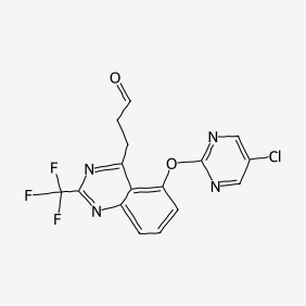 O=CCCc1nc(C(F)(F)F)nc2cccc(Oc3ncc(Cl)cn3)c12